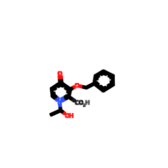 CC(O)n1ccc(=O)c(OCc2ccccc2)c1C(=O)O